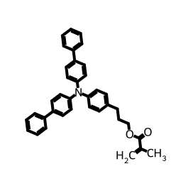 C=C(C)C(=O)OCCCc1ccc(N(c2ccc(-c3ccccc3)cc2)c2ccc(-c3ccccc3)cc2)cc1